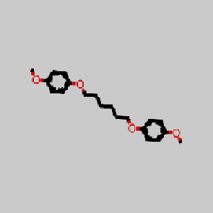 COc1ccc(OCCCCCCOc2ccc(OC)cc2)cc1